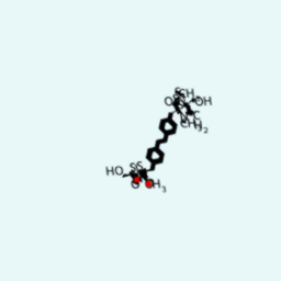 C=C1N(C)[C@@]2(Cc3ccc(CCc4ccc(C[C@@]56SS[C@@](CO)(C(=O)N5C)N(C)C6=O)cc4)cc3)C(=O)N(C)[C@]1(CO)S2=S=S